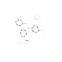 COc1ccc(N(Cc2c(F)cccc2F)c2cccc(C(=O)O)c2)cc1OC1CCC1